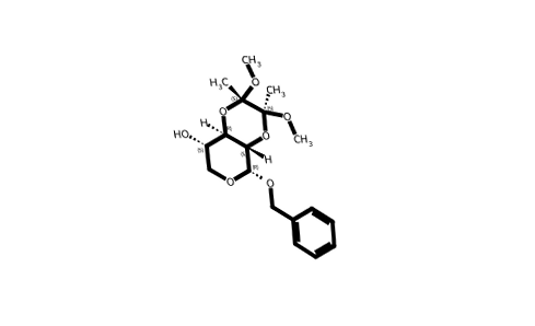 CO[C@@]1(C)O[C@@H]2[C@H](OCc3ccccc3)OC[C@H](O)[C@H]2O[C@]1(C)OC